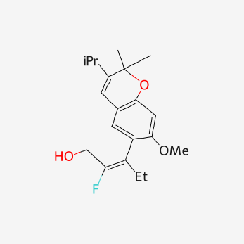 CC/C(=C(\F)CO)c1cc2c(cc1OC)OC(C)(C)C(C(C)C)=C2